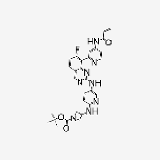 C=CC(=O)Nc1ccnc(-c2c(F)ccc3cnc(Nc4ccc(NC5CN(C(=O)OC(C)(C)C)C5)nc4)nc23)c1